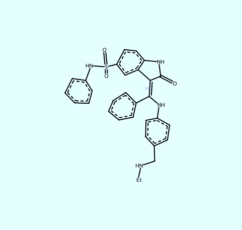 CCNCc1ccc(N/C(=C2\C(=O)Nc3ccc(S(=O)(=O)Nc4ccccc4)cc32)c2ccccc2)cc1